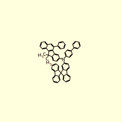 CC1(C)c2ccc(N(c3ccc(-c4ccccc4)cc3)c3ccc4c(c3)C3(c5ccccc5-c5ccccc53)c3ccccc3-4)cc2-c2c(-c3ccccc3)cc3ccccc3c21